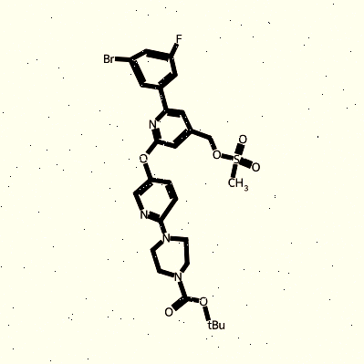 CC(C)(C)OC(=O)N1CCN(c2ccc(Oc3cc(COS(C)(=O)=O)cc(-c4cc(F)cc(Br)c4)n3)cn2)CC1